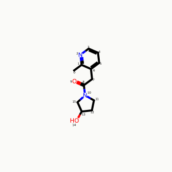 Cc1ncccc1CC(=O)N1CCC(O)C1